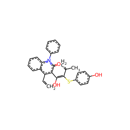 C=Cc1c(/C(O)=C(/Sc2ccc(O)cc2)C(=C)C)c(=O)n(-c2ccccc2)c2ccccc12